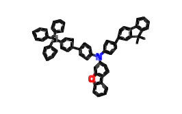 CC1(C)c2ccccc2-c2ccc(-c3ccc(N(c4ccc(-c5ccc([Si](c6ccccc6)(c6ccccc6)c6ccccc6)cc5)cc4)c4ccc5c(c4)oc4ccccc45)cc3)cc21